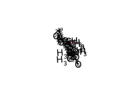 C[C@@H]1CC(CC=O)OC2[C@H]1[C@@]1(C)CCC34C[C@@]35CC[C@H](O[C@H]3CN(C(=O)CC6CC6)CCO3)C(C)(C)[C@]5(C)CCC4[C@]1(C)[C@H]2O